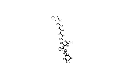 O=C(OCc1ccccc1)C(CCCCCCCCCC[N+](=O)[O-])=NO